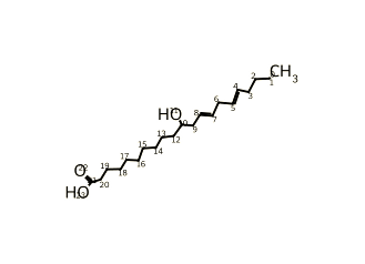 CCCCC=CCC=CCC(O)CCCCCCCCCC(=O)O